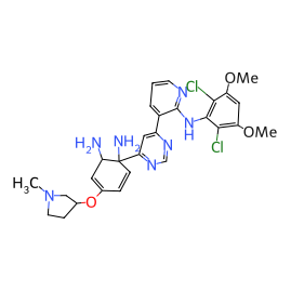 COc1cc(OC)c(Cl)c(Nc2ncccc2-c2cc(C3(N)C=CC(OC4CCN(C)C4)=CC3N)ncn2)c1Cl